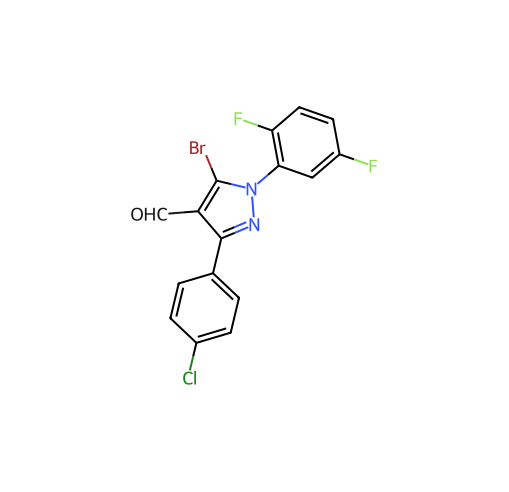 O=Cc1c(-c2ccc(Cl)cc2)nn(-c2cc(F)ccc2F)c1Br